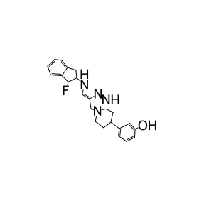 N=N/C(=C\NC1Cc2ccccc2C1F)CN1CCC(c2cccc(O)c2)CC1